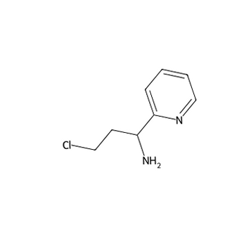 NC(CCCl)c1ccccn1